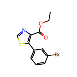 CCOC(=O)c1ncsc1-c1cccc(Br)c1